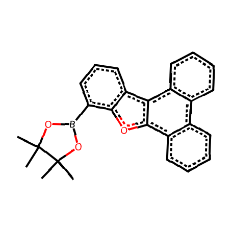 CC1(C)OB(c2cccc3c2oc2c4ccccc4c4ccccc4c32)OC1(C)C